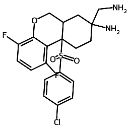 NCC1(N)CCC2(S(=O)(=O)c3ccc(Cl)cc3)c3c(F)ccc(F)c3OCC2C1